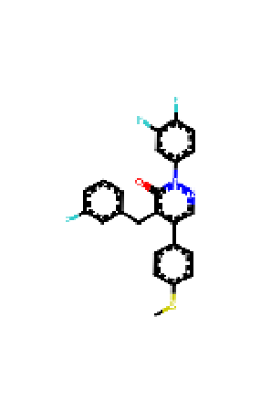 CSc1ccc(-c2cnn(-c3ccc(F)c(F)c3)c(=O)c2Cc2cccc(F)c2)cc1